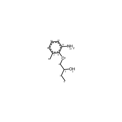 CCC(O)COc1c(C)cccc1N